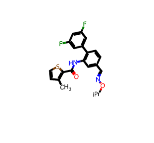 Cc1ccsc1C(=O)Nc1cc(C=NOC(C)C)ccc1-c1cc(F)cc(F)c1